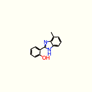 Cc1cccc2[nH]c(-c3ccccc3O)nc12